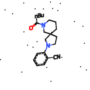 CCCCC(=O)N1CCCC2(CCN(c3ccccc3C#N)C2)C1